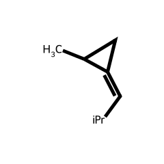 CC(C)C=C1CC1C